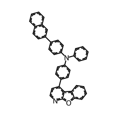 c1ccc(N(c2ccc(-c3ccc4ccccc4c3)cc2)c2ccc(-c3ccnc4oc5ccccc5c34)cc2)cc1